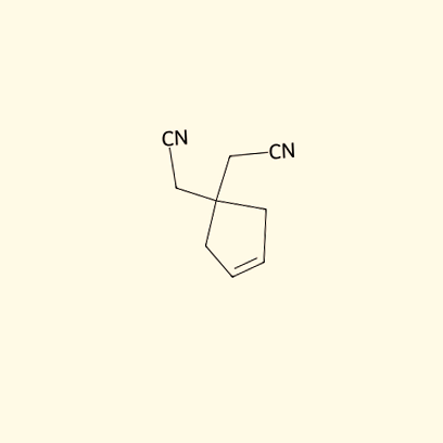 N#CCC1(CC#N)CC=CC1